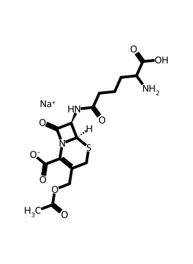 CC(=O)OCC1=C(C(=O)[O-])N2C(=O)[C@@H](NC(=O)CCCC(N)C(=O)O)[C@H]2SC1.[Na+]